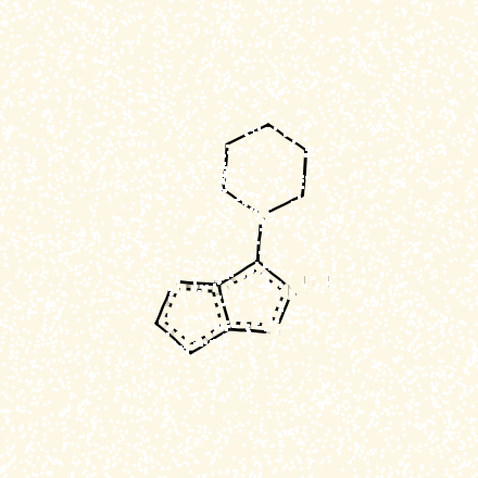 Cl.c1cc2onc(N3CCCCC3)c2s1